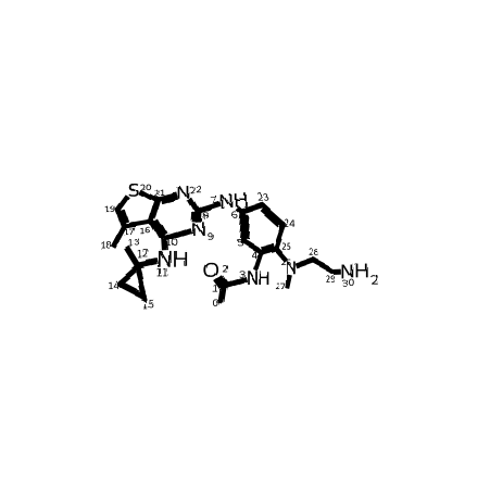 CC(=O)Nc1cc(Nc2nc(NC3(C)CC3)c3c(C)csc3n2)ccc1N(C)CCN